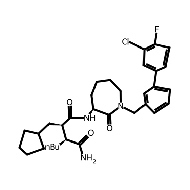 CCCC[C@H](C(N)=O)[C@@H](CC1CCCC1)C(=O)N[C@H]1CCCCN(Cc2cccc(-c3ccc(F)c(Cl)c3)c2)C1=O